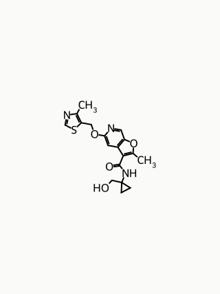 Cc1ncsc1COc1cc2c(C(=O)NC3(CO)CC3)c(C)oc2cn1